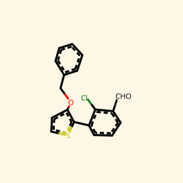 O=Cc1cccc(-c2sccc2OCc2ccccc2)c1Cl